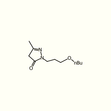 CCCCOCCCN1N=C(C)CC1=O